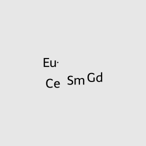 [Ce].[Eu].[Gd].[Sm]